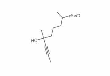 CC#CC(C)(O)CCCC(C)CCCCC